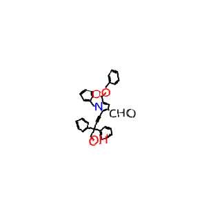 O=Cc1cc(C(=O)OCc2ccccc2)n(Cc2ccccc2)c1C#CC(CO)(c1ccccc1)c1ccccc1